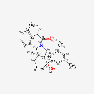 COc1ccccc1[C@H](C)C(=O)N1C[C@@H]2CCC[C@@](O)(c3cc(C(F)(F)F)cc(C(F)(F)F)c3)[C@@H]2C1